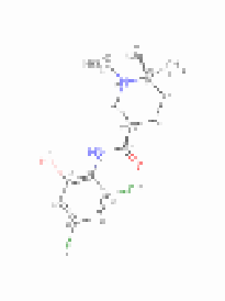 CC(C)(C)[C@@]1(C)CC[C@@H](C(=O)Nc2c(O)cc(F)cc2F)CN1C(=O)O